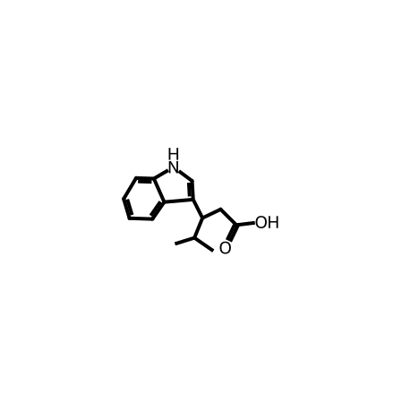 CC(C)C(CC(=O)O)c1c[nH]c2ccccc12